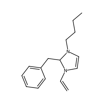 C=CN1C=CN(CCCC)C1Cc1ccccc1